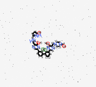 COc1nc(-c2cccc(-c3cccc(-c4cnc(CN5CCN(C=O)CC5)c(OC)n4)c3Cl)c2Cl)cnc1CNC[C@@H]1CCC(=O)N1